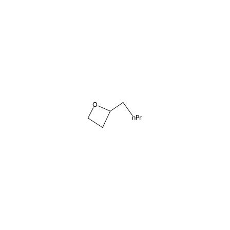 C[CH]CCC1CCO1